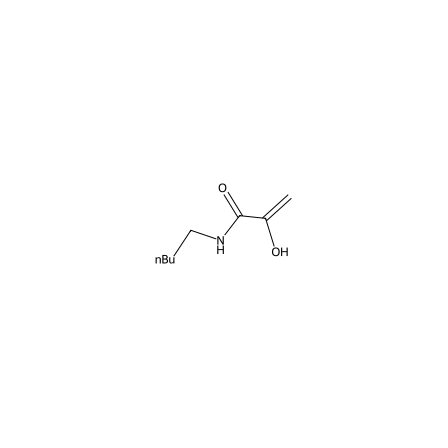 C=C(O)C(=O)NCCCCC